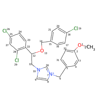 COc1ccc(C[n+]2ccn(CC(OCc3ccc(Cl)cc3)c3ccc(Cl)cc3Cl)c2)cc1